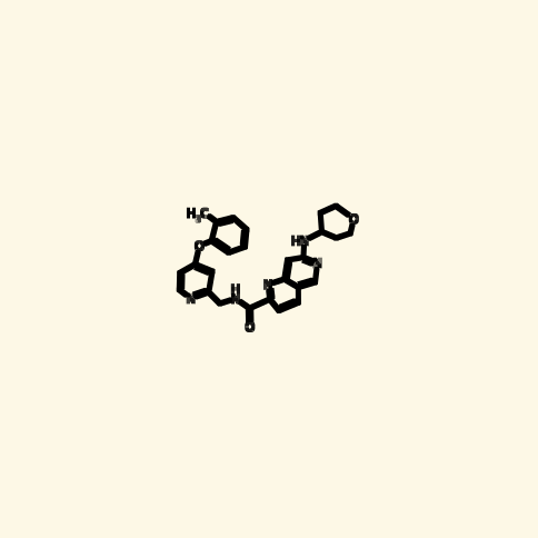 Cc1ccccc1Oc1ccnc(CNC(=O)c2ccc3cnc(NC4CCOCC4)cc3n2)c1